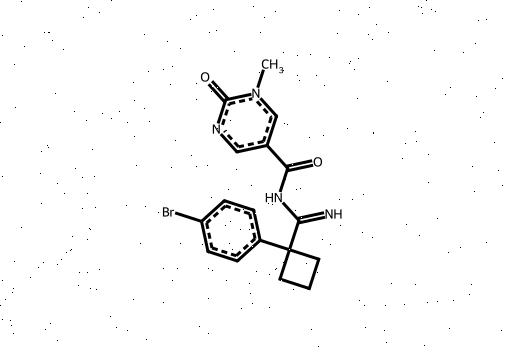 Cn1cc(C(=O)NC(=N)C2(c3ccc(Br)cc3)CCC2)cnc1=O